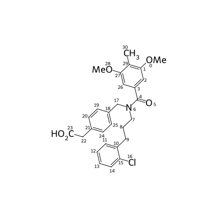 COc1cc(C(=O)N(CCCc2ccccc2Cl)Cc2ccc(CC(=O)O)cc2)cc(OC)c1C